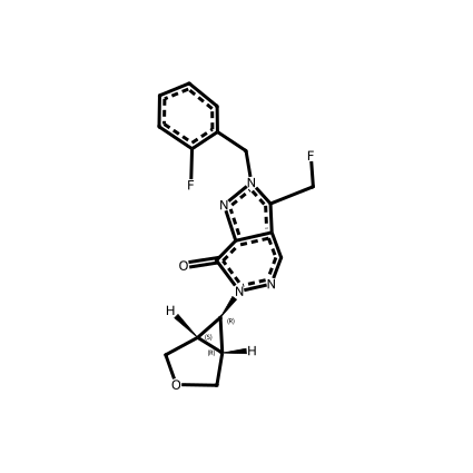 O=c1c2nn(Cc3ccccc3F)c(CF)c2cnn1[C@H]1[C@@H]2COC[C@@H]21